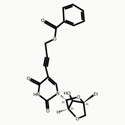 CC[C@@]12CO[C@H](C1O)[C@H](n1cc(C#CCOC(=O)c3ccccc3)c(=O)[nH]c1=O)O2